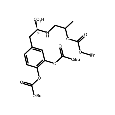 CC(C)COC(=O)Oc1ccc(C[C@H](NCC(C)OC(=O)OC(C)C)C(=O)O)cc1OC(=O)OCC(C)C